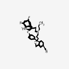 CCCN(CCCC1(c2ccc(F)cc2)OCc2cc(C#N)ccc21)CCc1c[nH]c2c(F)cc(F)cc12